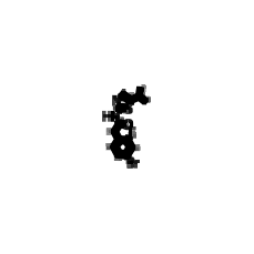 CC(C)c1cnc(NC(=O)Cc2ccc(Br)cc2F)s1